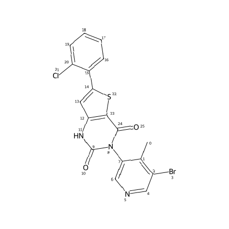 Cc1c(Br)cncc1-n1c(=O)[nH]c2cc(-c3ccccc3Cl)sc2c1=O